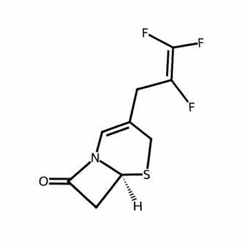 O=C1C[C@@H]2SCC(CC(F)=C(F)F)=CN12